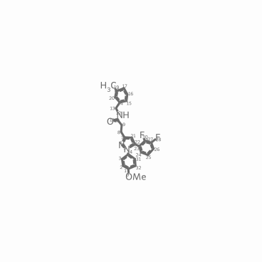 COc1ccc(-n2nc(CCC(=O)NCc3cccc(C)c3)cc2-c2cccc(F)c2F)cc1